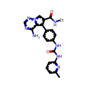 CCNC(=O)c1cn2ncnc(N)c2c1-c1ccc(NC(=O)Nc2cccc(C)n2)cc1